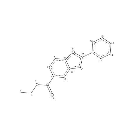 CCOC(=O)c1ccc2oc(-c3ccccc3)cc2c1